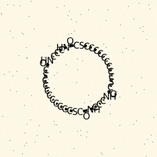 O=C1CSCCCCCCCCCSCC(=O)NCCCNC(=O)CSCCCCCCCCCSCC(=O)NCCCN1